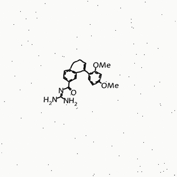 COc1ccc(C2=CCCc3ccc(C(=O)N=C(N)N)cc32)c(OC)c1